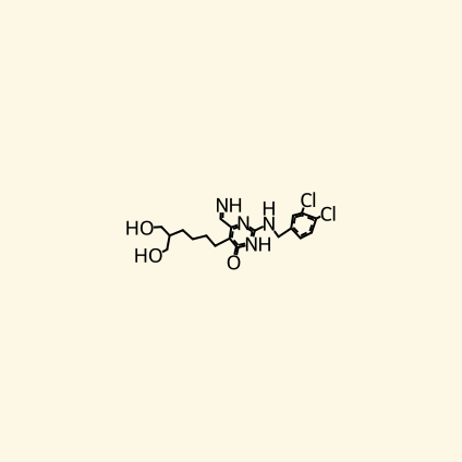 N=Cc1nc(NCc2ccc(Cl)c(Cl)c2)[nH]c(=O)c1CCCCC(CO)CO